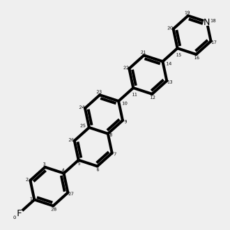 Fc1ccc(-c2ccc3cc(-c4ccc(-c5ccncc5)cc4)ccc3c2)cc1